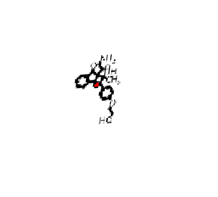 CC(O)(C(=O)c1ccc(OCCO)cc1)C1(C(=O)CN)C(=O)c2ccccc2C1=O